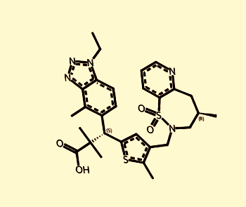 CCn1nnc2c(C)c([C@H](c3cc(CN4C[C@H](C)Cc5ncccc5S4(=O)=O)c(C)s3)C(C)(C)C(=O)O)ccc21